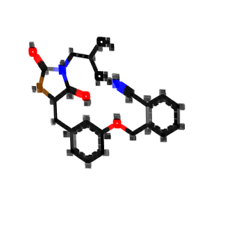 CC(C)CN1C(=O)SC(Cc2cccc(OCc3ccccc3C#N)c2)C1=O